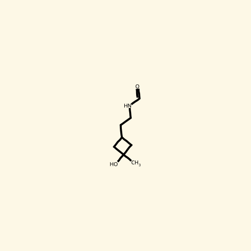 CC1(O)CC(CCNC=O)C1